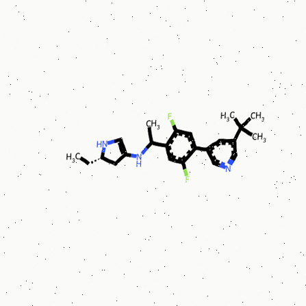 CC[C@H]1CC(NC(C)c2cc(F)c(-c3cncc(C(C)(C)C)c3)cc2F)=CN1